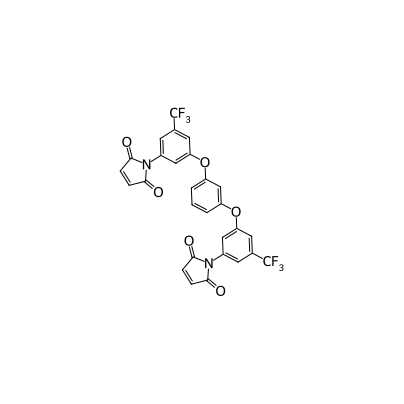 O=C1C=CC(=O)N1c1cc(Oc2cccc(Oc3cc(N4C(=O)C=CC4=O)cc(C(F)(F)F)c3)c2)cc(C(F)(F)F)c1